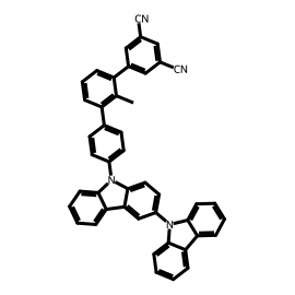 Cc1c(-c2ccc(-n3c4ccccc4c4cc(-n5c6ccccc6c6ccccc65)ccc43)cc2)cccc1-c1cc(C#N)cc(C#N)c1